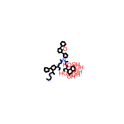 C=C/C(=C\C=C(/C)N(/C(C)=C/C=C(\C=C)c1c(O)c(O)c(O)c2c(O)c(O)c(O)c(O)c12)c1cccc(-c2cccc3c2oc2ccccc23)c1)c1ccc(-c2ccccc2)c(C(=C)/C=C\C/C=C\C)c1